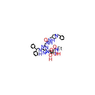 CCNC(=O)[C@H]1O[C@@H](n2cnc3c(NCC(c4ccccc4)c4ccccc4)nc(CNC(=O)NCC4CCN(Cc5ccccc5)CC4)nc32)[C@H](O)[C@@H]1O